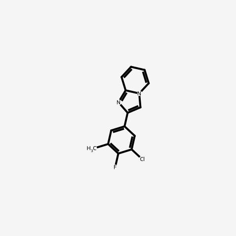 Cc1cc(-c2cn3ccccc3n2)cc(Cl)c1F